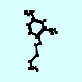 CCCCCc1ccc(N)cc1N